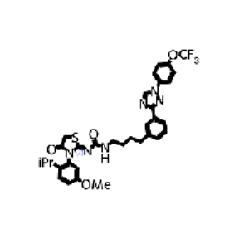 COc1ccc(C(C)C)c(N2C(=O)CS/C2=N\C(=O)NCCCCc2cccc(-c3ncn(-c4ccc(OC(F)(F)F)cc4)n3)c2)c1